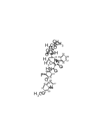 COc1ccc2c(Oc3ccc(NC(=O)c4c(C)n(CC(C)[C@@H](NC(=O)OC(C)(C)C)C(=O)O)n(-c5ccccc5)c4=O)cc3F)ccnc2c1